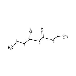 CCCC(Cl)OC(=O)OCC